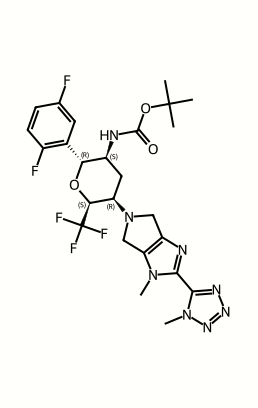 Cn1nnnc1-c1nc2c(n1C)CN([C@@H]1C[C@H](NC(=O)OC(C)(C)C)[C@@H](c3cc(F)ccc3F)O[C@@H]1C(F)(F)F)C2